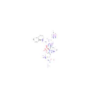 Cc1cc(C(=O)N[C@@H](Cc2cccc3ccccc23)C(=O)N[C@@H](CC(C)C)C(=O)N[C@@H](CC2CCCNC2=O)C(O)C#N)no1